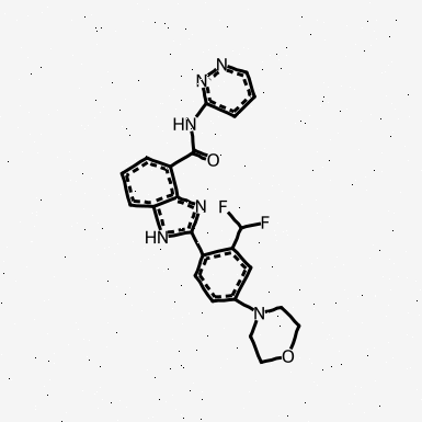 O=C(Nc1cccnn1)c1cccc2[nH]c(-c3ccc(N4CCOCC4)cc3C(F)F)nc12